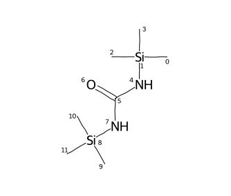 C[Si](C)(C)NC(=O)N[Si](C)(C)C